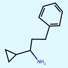 NC(CCc1ccccc1)C1CC1